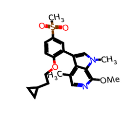 COc1ncc(C)c2c(-c3cc(S(C)(=O)=O)ccc3OCCC3CC3)cn(C)c12